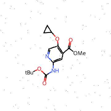 COC(=O)c1cc(NC(=O)OC(C)(C)C)ncc1OC1CC1